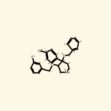 Fc1cccc(COC2CNCCC2(OCc2ccccc2)c2ccc(Cl)cc2)c1